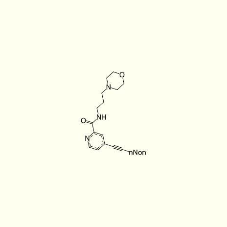 CCCCCCCCCC#Cc1ccnc(C(=O)NCCCN2CCOCC2)c1